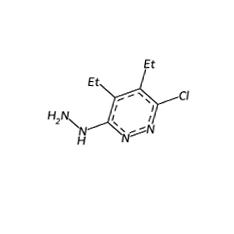 CCc1c(Cl)nnc(NN)c1CC